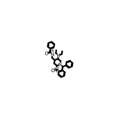 CCN(CC)C1CN(C(c2ccccc2)c2ccccc2)C([N+](=O)[O-])CC1CNC(=O)c1ccccc1